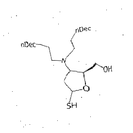 CCCCCCCCCCCCN(CCCCCCCCCCCC)C1CC(S)O[C@@H]1CO